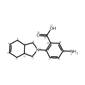 Nc1ccc(N2CC3CC=CCC3C2)c(C(=O)O)c1